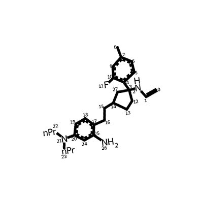 C=CNC1(c2ccc(C)cc2F)CCC(CCc2ccc(N(CCC)CCC)cc2N)C1